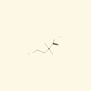 COC(=O)C(C)(C)CCC(C)C